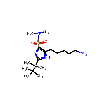 CN(C)S(=O)(=O)c1nc([Si](C)(C)C(C)(C)C)[nH]c1CCCCCN